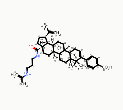 C=C(C)NCCCNC(=O)[C@]12CC[C@@H](C(=C)C)[C@@H]1[C@H]1CC[C@@H]3[C@@]4(C)CC=C(c5ccc(C(=O)O)cc5)C(C)(C)[C@@H]4CC[C@@]3(C)[C@]1(C)CC2